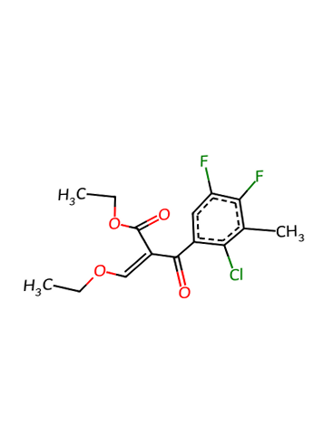 CCOC=C(C(=O)OCC)C(=O)c1cc(F)c(F)c(C)c1Cl